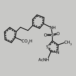 CC(=O)Nc1nc(C)c(S(=O)(=O)Nc2cccc(CCc3ccccc3C(=O)O)c2)s1